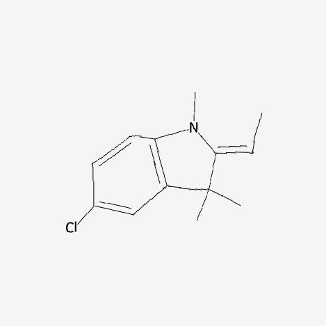 CC=C1N(C)c2ccc(Cl)cc2C1(C)C